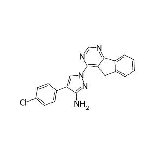 Nc1nn(-c2ncnc3c2Cc2ccccc2-3)cc1-c1ccc(Cl)cc1